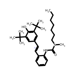 CCCCCCCN(C)C(=O)Nc1ccccc1/C=C/c1cc(C(C)(C)C)c(O)c(C(C)(C)C)c1